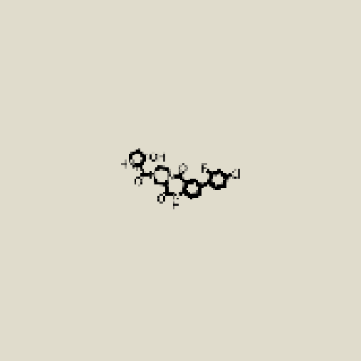 O=C1Nc2ccc(-c3ccc(Cl)cc3F)cc2C(=O)N2CCN(C(=O)[C@H]3NCC[C@@H]3O)CC12